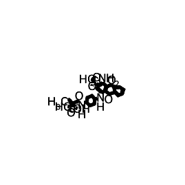 CCC(C(=O)NC1CCC(Nc2cc(S(=O)(=O)O)c(N)c3c2C(=O)c2ccccc2C3=O)CC1)P(=O)(O)O